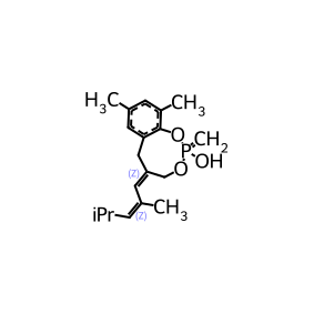 C=P1(O)OC/C(=C\C(C)=C/C(C)C)Cc2cc(C)cc(C)c2O1